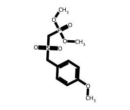 COc1ccc(CS(=O)(=O)CP(=O)(OC)OC)cc1